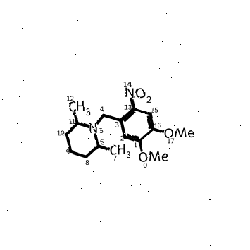 COc1cc(CN2C(C)CCCC2C)c([N+](=O)[O-])cc1OC